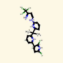 CC(C)(c1cccc(N/C=C\C(=N)C(F)(F)F)n1)c1cccc(-c2ccc(F)nc2F)n1